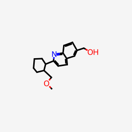 COCC1CCCCC1c1ccc2cc(CO)ccc2n1